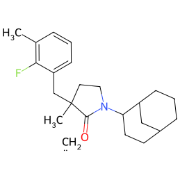 Cc1cccc(CC2(C)CCN(C3CCC4CCCC3C4)C2=O)c1F.[CH2]